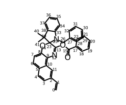 C=Cc1ccc2ccc3c(c2c1)N=C(OC(=O)c1ccccc1)C1(O3)N(Cc2ccccc2)c2ccccc2C1(C)C